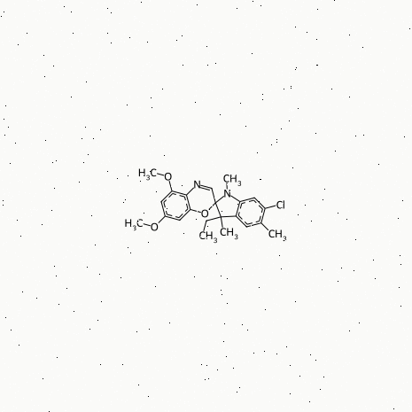 CCC1(C)c2cc(C)c(Cl)cc2N(C)C12C=Nc1c(OC)cc(OC)cc1O2